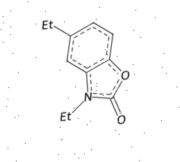 CCc1ccc2oc(=O)n(CC)c2c1